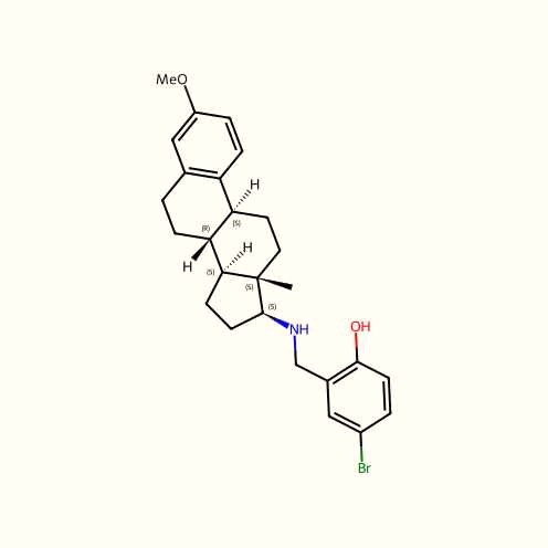 COc1ccc2c(c1)CC[C@@H]1[C@@H]2CC[C@]2(C)[C@@H](NCc3cc(Br)ccc3O)CC[C@@H]12